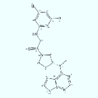 CN(c1ncnc2[nH]ccc12)[C@@H]1CCN(C(=O)CNc2cc(Cl)cc(Cl)c2)C1